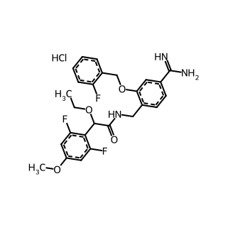 CCOC(C(=O)NCc1ccc(C(=N)N)cc1OCc1ccccc1F)c1c(F)cc(OC)cc1F.Cl